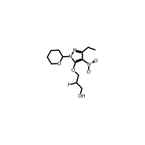 CCc1nn(C2CCCCO2)c(OCC(F)CO)c1[N+](=O)[O-]